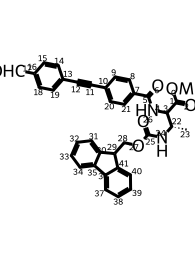 COC(=O)C(NC(=O)c1ccc(C#Cc2ccc(C=O)cc2)cc1)[C@H](C)NC(=O)OCC1c2ccccc2-c2ccccc21